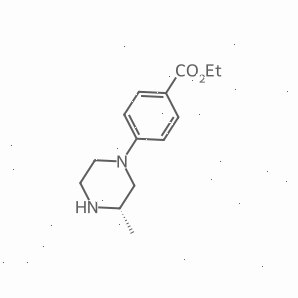 CCOC(=O)c1ccc(N2CCN[C@@H](C)C2)cc1